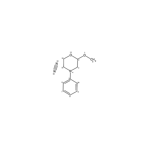 COC1CN(c2ccccc2)CCO1.N#N